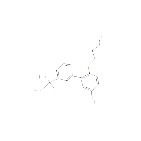 CCCCOc1ccc(C)cc1-c1cccc(C(C)(C)C)c1